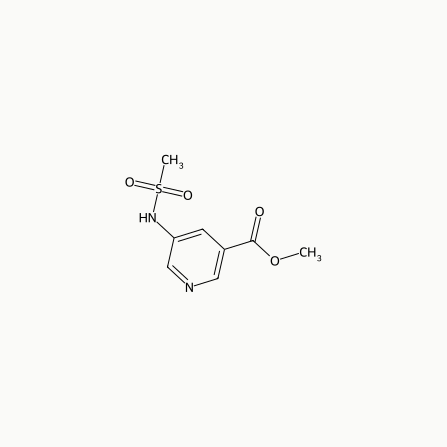 COC(=O)c1cncc(NS(C)(=O)=O)c1